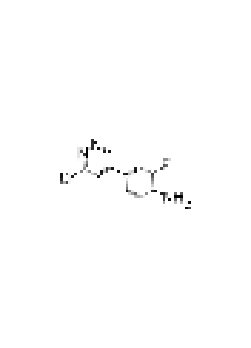 Nc1ccc(-c2cnnc(Cl)c2)cc1F